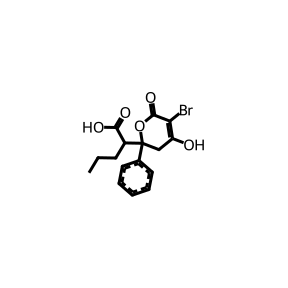 CCCC(C(=O)O)C1(c2ccccc2)CC(O)=C(Br)C(=O)O1